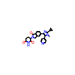 Cn1c(C2CC2)nc(-c2ccc3c(c2)CN(C2CCC(=O)NC2=O)C3=O)c1-c1ccncc1